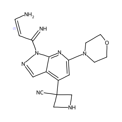 N#CC1(c2cc(N3CCOCC3)nc3c2cnn3C(=N)/C=C\N)CNC1